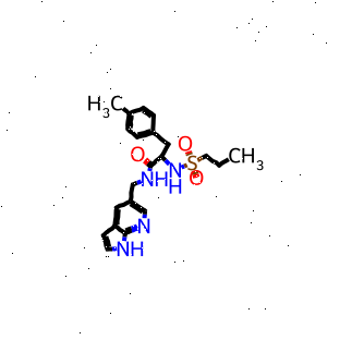 CCCS(=O)(=O)NC(Cc1ccc(C)cc1)C(=O)NCc1cnc2[nH]ccc2c1